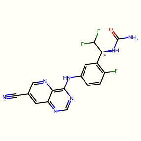 N#Cc1cnc2c(Nc3ccc(F)c([C@H](NC(N)=O)C(F)F)c3)ncnc2c1